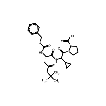 CC(C)(C)OC(=O)C[C@H](NC(=O)OCc1ccccc1)C(=O)NC(C(=O)N1CCC[C@@H]1C(=O)O)C1CC1